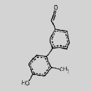 Cc1cc(O)ccc1-c1cccc(C=O)c1